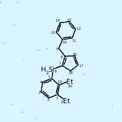 CCc1cccc([SiH2]C2=C(Cc3ccccc3)C=CC2)c1CC